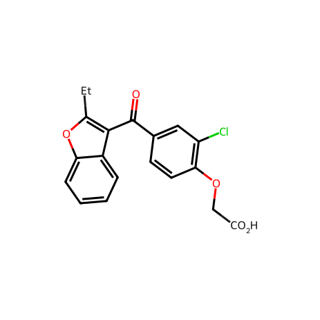 CCc1oc2ccccc2c1C(=O)c1ccc(OCC(=O)O)c(Cl)c1